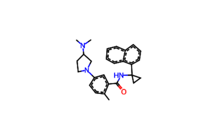 Cc1ccc(N2CCC(N(C)C)C2)cc1C(=O)NC1(c2cccc3ccccc23)CC1